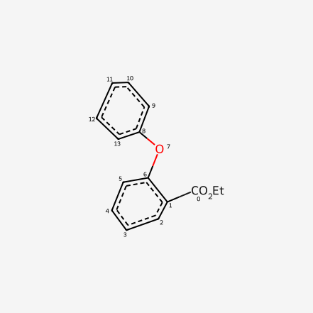 CCOC(=O)c1ccccc1Oc1ccccc1